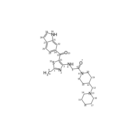 Cc1nc(NCC(=O)N2CCC(CN3CCCCC3)CC2)c(C(=O)c2ccc3cc[nH]c3c2)s1